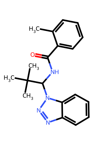 Cc1ccccc1C(=O)NC(n1nnc2ccccc21)C(C)(C)C